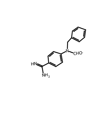 N=C(N)c1ccc(N([C]=O)Cc2ccccc2)cc1